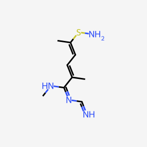 CNC(=N/C=N)/C(C)=C/C=C(\C)SN